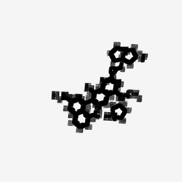 CN(c1nc(OC[C@@]23CCCN2C[C@H](F)C3)nc2c(F)c(-c3nc(N)cc4cccc(Cl)c34)ncc12)[C@@H]1CCNC1